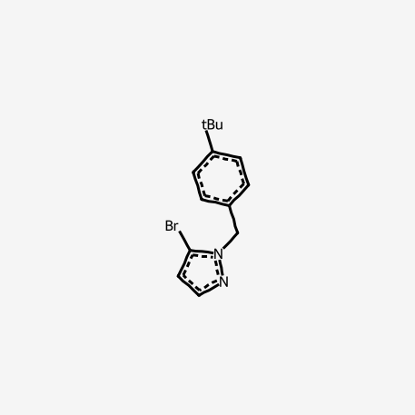 CC(C)(C)c1ccc(Cn2nccc2Br)cc1